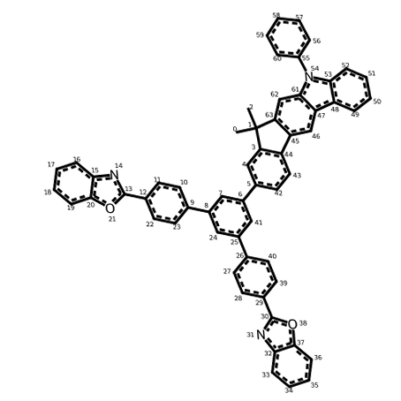 CC1(C)c2cc(-c3cc(-c4ccc(-c5nc6ccccc6o5)cc4)cc(-c4ccc(-c5nc6ccccc6o5)cc4)c3)ccc2-c2cc3c4ccccc4n(-c4ccccc4)c3cc21